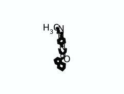 Cc1cn(-c2ccc(N3CCN(C(=O)c4cccc5ccccc45)CC3)cc2)cn1